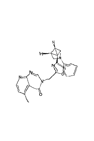 Cc1ccnc2ncn(Cc3nc([C@]45C6[C@H]4[C@H]5CN6c4ccccc4)no3)c(=O)c12